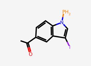 CC(=O)c1ccc2c(c1)c(I)cn2P